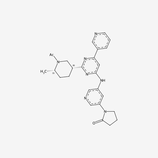 CC(=O)N1C[C@H](c2nc(Nc3cncc(N4CCCC4=O)c3)cc(-c3cccnc3)n2)CC[C@@H]1C